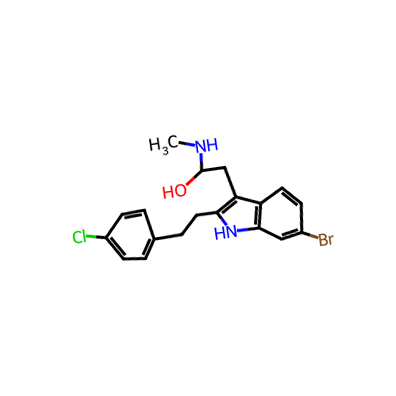 CNC(O)Cc1c(CCc2ccc(Cl)cc2)[nH]c2cc(Br)ccc12